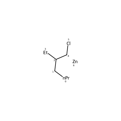 CCCCC(CC)CCl.[Zn]